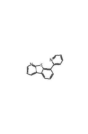 c1ccc(-c2cccc3c2sc2ncccc23)nc1